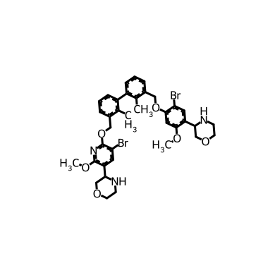 COc1cc(OCc2cccc(-c3cccc(COc4nc(OC)c(C5COCCN5)cc4Br)c3C)c2C)c(Br)cc1C1COCCN1